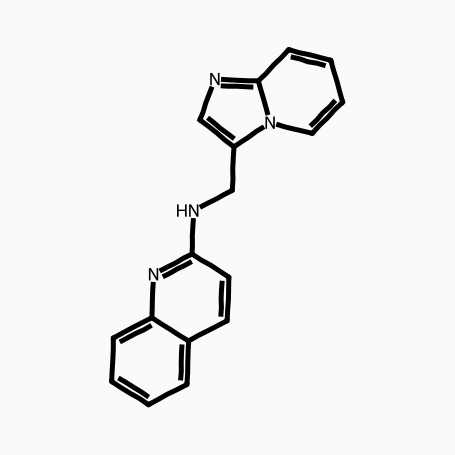 c1ccc2nc(NCc3cnc4ccccn34)ccc2c1